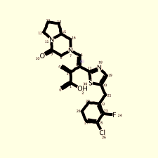 C=C(O)C(=C)/C(=C\N1CC(=O)N2CCCC2C1)c1ncc(CC2=C(F)C(Cl)=CCC2)s1